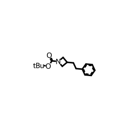 CC(C)(C)OC(=O)N1CC(CCc2ccccc2)C1